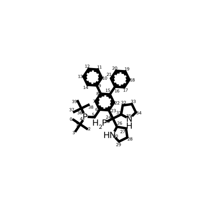 CC(C)(C)P(Cc1cc(-c2ccccc2)c(-c2ccccc2)cc1C(P)(C1CCCN1)C1CCCN1)C(C)(C)C